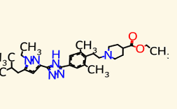 CCOC(=O)C1CCN(CCc2c(C)cc(-c3nnc(-c4cc(CC(C)C)n(CC)n4)[nH]3)cc2C)CC1